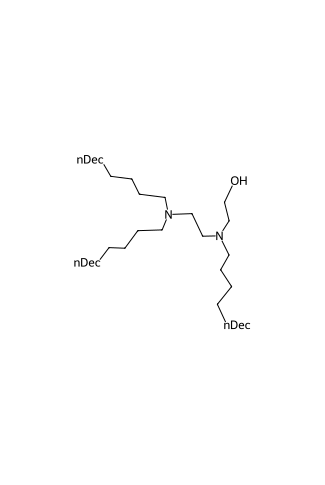 CCCCCCCCCCCCCCN(CCO)CCN(CCCCCCCCCCCCCC)CCCCCCCCCCCCCC